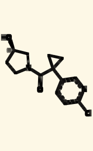 O=C(N1CC[C@@H](O)C1)C1(c2ccc(Cl)nc2)CC1